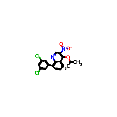 CC(C)Oc1c([N+](=O)[O-])cnc2c(-c3cc(Cl)cc(Cl)c3)cccc12